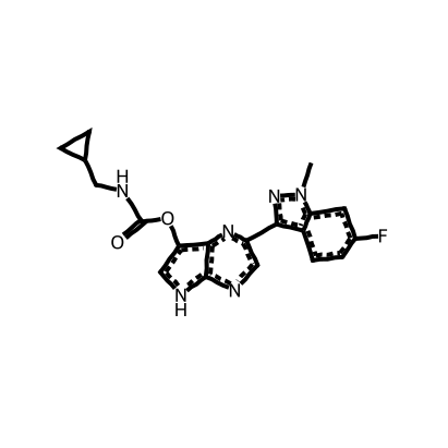 Cn1nc(-c2cnc3[nH]cc(OC(=O)NCC4CC4)c3n2)c2ccc(F)cc21